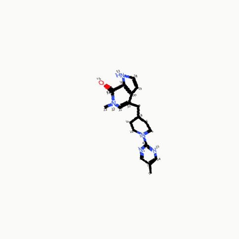 Cc1cnc(N2CCC(Cc3cn(C)c(=O)c4[nH]ccc34)CC2)nc1